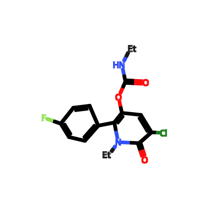 CCNC(=O)Oc1cc(Cl)c(=O)n(CC)c1-c1ccc(F)cc1